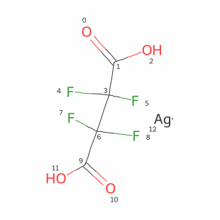 O=C(O)C(F)(F)C(F)(F)C(=O)O.[Ag]